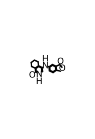 O=C1OCc2ccc(Nc3c[nH]c(=O)c4c3CCCC4)cc21